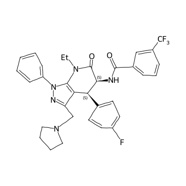 CCN1C(=O)[C@@H](NC(=O)c2cccc(C(F)(F)F)c2)[C@@H](c2ccc(F)cc2)c2c(CN3CCCC3)nn(-c3ccccc3)c21